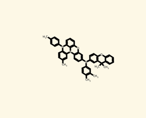 Cc1ccc(N2c3ccc(C)cc3B3c4ccc(N(c5ccc(C)c(C)c5)c5ccc6c(c5)C(C)(C)c5ccccc5O6)cc4Oc4cccc2c43)cc1